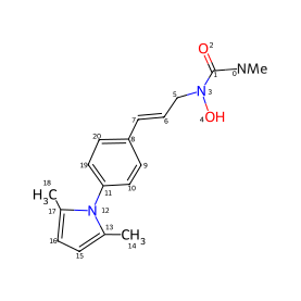 CNC(=O)N(O)CC=Cc1ccc(-n2c(C)ccc2C)cc1